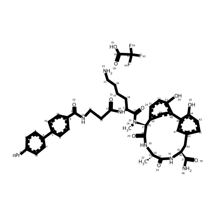 CCCc1ccc(-c2ccc(C(=O)NCCC(=O)NC(CCCCN)C(=O)N(C)[C@@H]3C(=O)N[C@@H](C)C(=O)N[C@H](C(N)=O)Cc4ccc(O)c(c4)-c4cc3ccc4O)cc2)cc1.O=C(O)C(F)(F)F